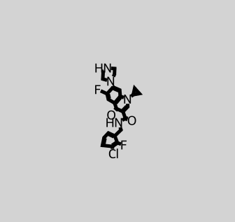 O=C(NCc1cccc(Cl)c1F)c1cn(C2CC2)c2cc(N3CCNCC3)c(F)cc2c1=O